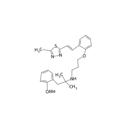 COc1ccccc1CC(C)(C)NCCCOc1ccccc1C=Cc1nnc(C)s1